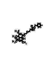 CC[C@H]1O[C@@H](OCCOCCNC(=O)OCc2ccccc2)[C@H](NC(C)=O)[C@@H](OC(C)=O)[C@H]1C